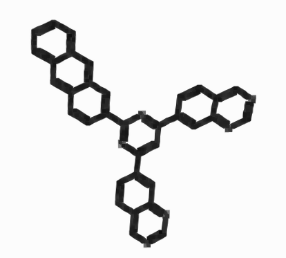 c1ccc2cc3cc(-c4nc(-c5ccc6cncnc6c5)cc(-c5ccc6cncnc6c5)n4)ccc3cc2c1